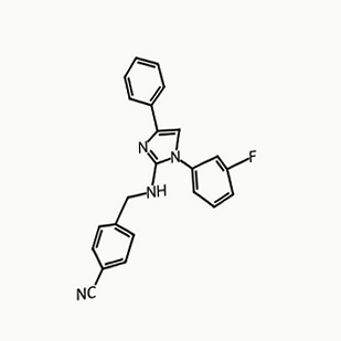 N#Cc1ccc(CNc2nc(-c3ccccc3)cn2-c2cccc(F)c2)cc1